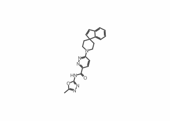 Cc1nnc(NC(=O)c2ccc(N3CCC4(C=Cc5ccccc54)CC3)nn2)o1